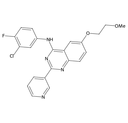 COCCOc1ccc2nc(-c3cccnc3)nc(Nc3ccc(F)c(Cl)c3)c2c1